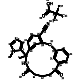 Cn1cncc1C1(C)NC(=O)CCCC(=O)c2cccc(c2)Oc2cc1ccc2C#N.O=C(O)C(F)(F)F